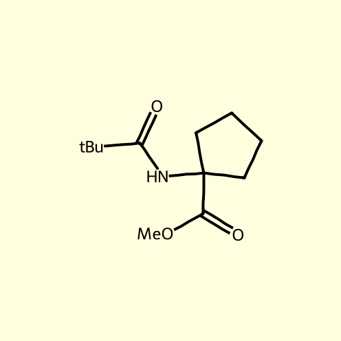 COC(=O)C1(NC(=O)C(C)(C)C)CCCC1